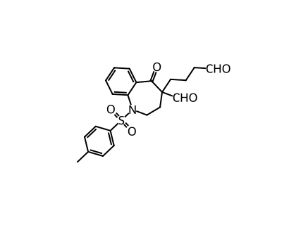 Cc1ccc(S(=O)(=O)N2CCC(C=O)(CCCC=O)C(=O)c3ccccc32)cc1